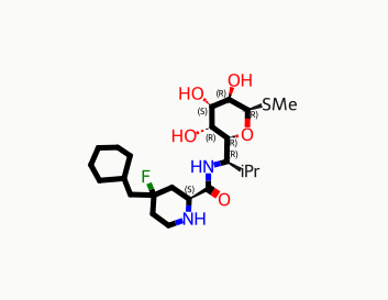 CS[C@H]1O[C@H]([C@H](NC(=O)[C@@H]2CC(F)(CC3CCCCC3)CCN2)C(C)C)[C@H](O)[C@H](O)[C@H]1O